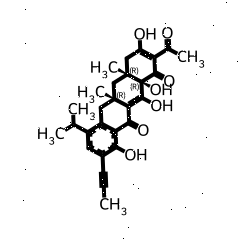 CC#Cc1cc(C(C)C)c2c(c1O)C(=O)C1=C(O)[C@@]3(O)C(=O)C(C(C)=O)=C(O)C[C@@]3(C)C[C@@]1(C)C2